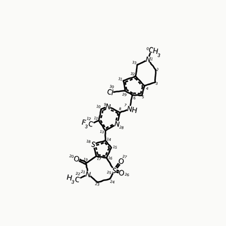 CN1CCc2cc(Nc3ncc(C(F)(F)F)c(-c4cc5c(s4)C(=O)N(C)CCS5(=O)=O)n3)c(Cl)cc2C1